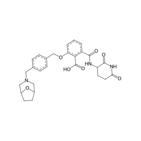 O=C1CCC(NC(=O)c2cccc(OCc3ccc(CN4CC5CCC(C4)O5)cc3)c2C(=O)O)C(=O)N1